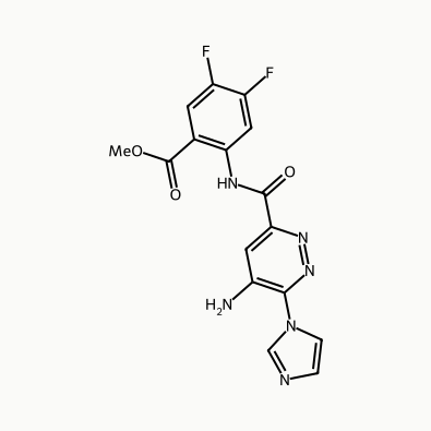 COC(=O)c1cc(F)c(F)cc1NC(=O)c1cc(N)c(-n2ccnc2)nn1